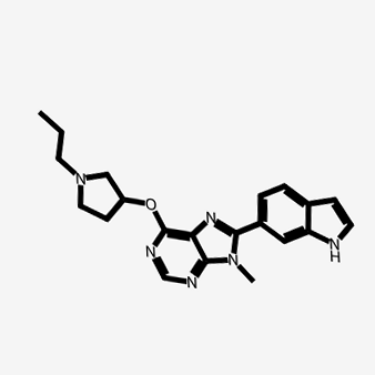 CCCN1CCC(Oc2ncnc3c2nc(-c2ccc4cc[nH]c4c2)n3C)C1